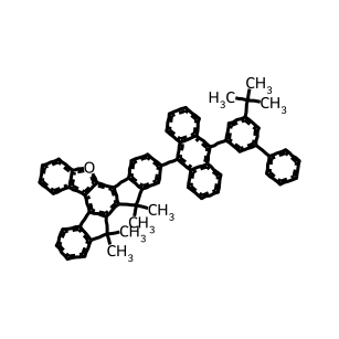 CC(C)(C)c1cc(-c2ccccc2)cc(-c2c3ccccc3c(-c3ccc4c(c3)C(C)(C)c3c5c(c6c(oc7ccccc76)c3-4)-c3ccccc3C5(C)C)c3ccccc23)c1